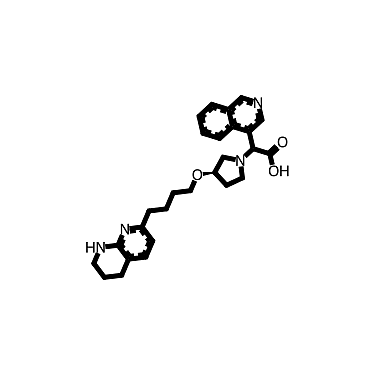 O=C(O)C(c1cncc2ccccc12)N1CC[C@@H](OCCCCc2ccc3c(n2)NCCC3)C1